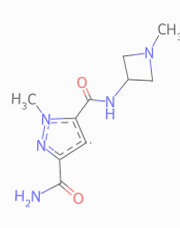 CN1CC(NC(=O)c2[c]c(C(N)=O)nn2C)C1